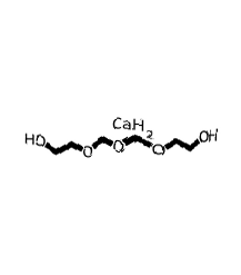 OCCOCOCOCCO.[CaH2]